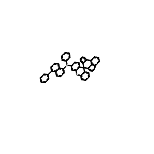 c1ccc(-c2cccc3c(N(c4ccccc4)c4ccc5c(c4)Sc4ccccc4C54c5ccccc5-c5cccc6cccc4c56)cccc23)cc1